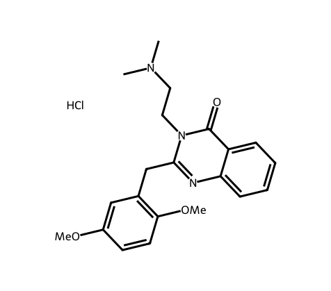 COc1ccc(OC)c(Cc2nc3ccccc3c(=O)n2CCN(C)C)c1.Cl